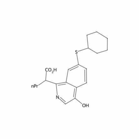 C[CH]CC(C(=O)O)c1ncc(O)c2ccc(SC3CCCCC3)cc12